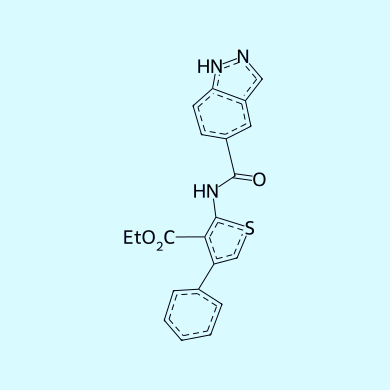 CCOC(=O)c1c(-c2ccccc2)csc1NC(=O)c1ccc2[nH]ncc2c1